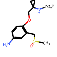 C[S+]([O-])Cc1cc(N)ccc1OCC1(NC(=O)O)CC1